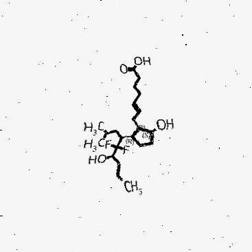 CCCC(O)C(F)(F)C(CC(C)C)[C@@H]1CC[C@H](O)[C@@H]1CC=CCCCC(=O)O